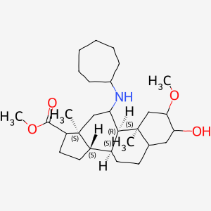 COC(=O)C1CC[C@H]2[C@@H]3CCC4CC(O)C(OC)C[C@]4(C)[C@@H]3C(NC3CCCCCC3)C[C@]12C